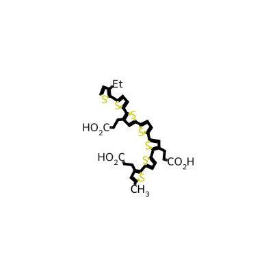 CCc1ccsc1-c1ccc(-c2sc(-c3ccc(-c4cc(CCC(=O)O)c(-c5ccc(-c6sc(C)cc6CCC(=O)O)s5)s4)s3)cc2CCC(=O)O)s1